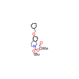 COC(=O)[C@H]1c2ccc(OCc3ccccc3)cc2CCN1C(=O)OC(C)(C)C